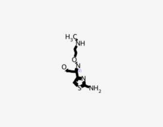 CNCCO/N=C(\[C]=O)c1csc(N)n1